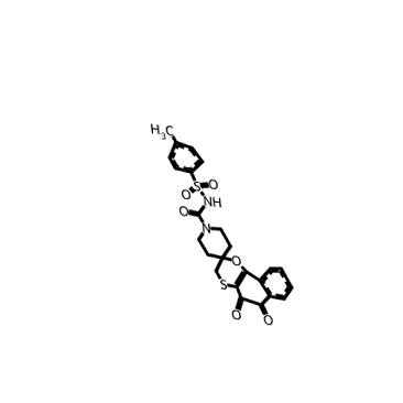 Cc1ccc(S(=O)(=O)NC(=O)N2CCC3(CC2)CSC2=C(O3)c3ccccc3C(=O)C2=O)cc1